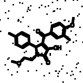 COCCN1C(=O)C(O)=C(C(=O)c2ccc(OC)c(C)c2)C1c1ccc(C)cc1